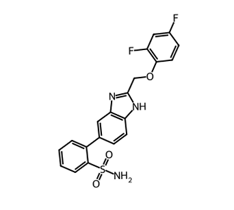 NS(=O)(=O)c1ccccc1-c1ccc2[nH]c(COc3ccc(F)cc3F)nc2c1